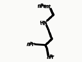 CCCCCCNCC(CCC)CCC